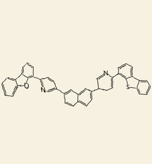 C1=NC(c2cccc3c2sc2ccccc23)=CCC1c1ccc2ccc(-c3ccc(-c4cccc5c4oc4ccccc45)nc3)cc2c1